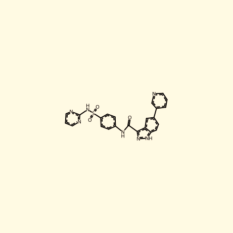 O=C(Nc1ccc(S(=O)(=O)Nc2ncccn2)cc1)c1n[nH]c2ccc(-c3cccnc3)cc12